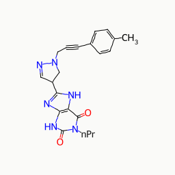 CCCn1c(=O)[nH]c2nc(C3C=NN(CC#Cc4ccc(C)cc4)C3)[nH]c2c1=O